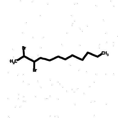 [CH2]C(Br)C(Br)CCCCCCCCC